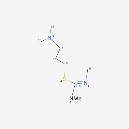 C/N=C(/NC)SCCCN(C)C